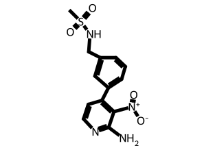 CS(=O)(=O)NCc1cccc(-c2ccnc(N)c2[N+](=O)[O-])c1